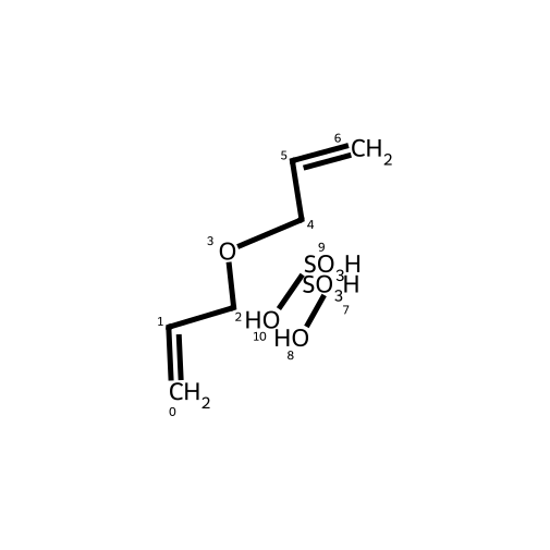 C=CCOCC=C.O=S(=O)(O)O.O=S(=O)(O)O